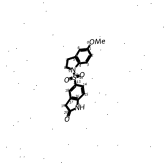 COc1ccc2c(c1)CCN2S(=O)(=O)c1ccc2c(c1)CC(=O)N2